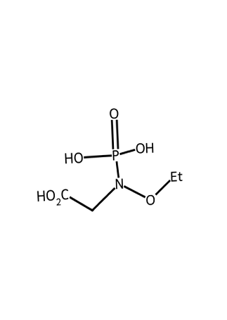 CCON(CC(=O)O)P(=O)(O)O